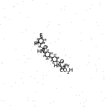 CC(C)[C@H](NC(=O)c1ccc(-c2ccc(NC(=O)Cc3ccc(F)cc3F)cc2)cc1)C(=O)O